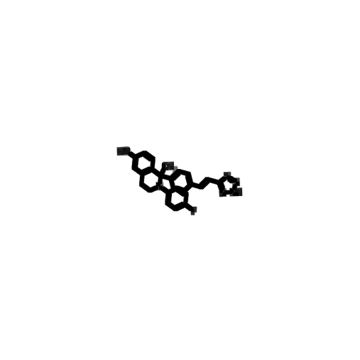 CC1(c2ccc(C=Cc3nn[nH]n3)cc2)c2ccc(O)cc2CCN1c1ccc(F)cc1